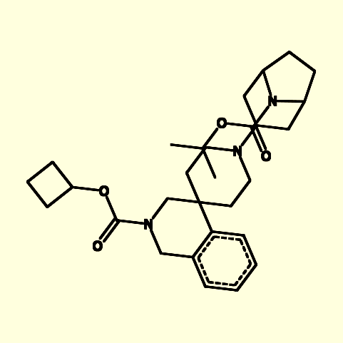 CC(C)OC(=O)N1C2CCC1CC(N1CCC3(CC1)CN(C(=O)OC1CCC1)Cc1ccccc13)C2